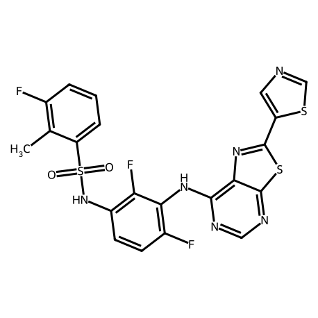 Cc1c(F)cccc1S(=O)(=O)Nc1ccc(F)c(Nc2ncnc3sc(-c4cncs4)nc23)c1F